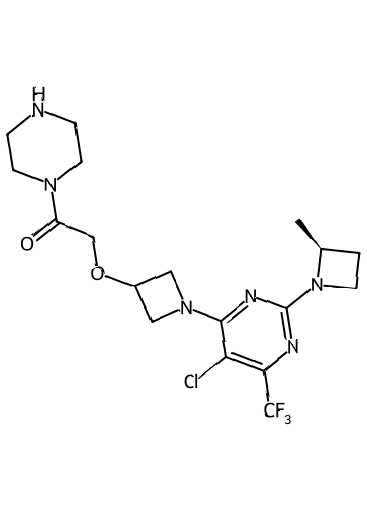 C[C@H]1CCN1c1nc(N2CC(OCC(=O)N3CCNCC3)C2)c(Cl)c(C(F)(F)F)n1